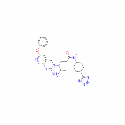 CC(C)C(CCC(=O)N(C)C1CCC(c2nnn[nH]2)CC1)N1Cc2cc(Oc3ccccc3)ncc2N=C1N